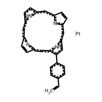 C=Cc1ccc(-c2cc3cc4nc(cc5ccc(cc6nc(cc2[nH]3)C=C6)[nH]5)C=C4)cc1.[Pt]